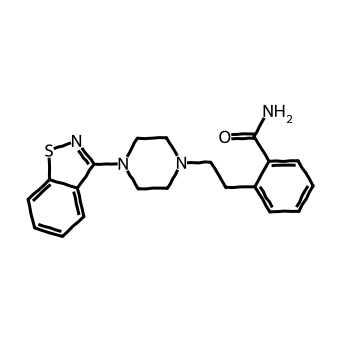 NC(=O)c1ccccc1CCN1CCN(c2nsc3ccccc23)CC1